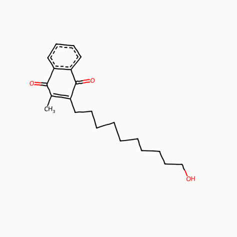 CC1=C(CCCCCCCCCCO)C(=O)c2ccccc2C1=O